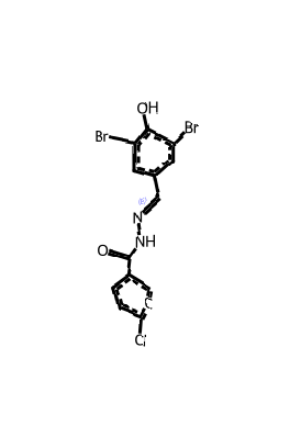 O=C(N/N=C/c1cc(Br)c(O)c(Br)c1)c1ccc(Cl)cc1